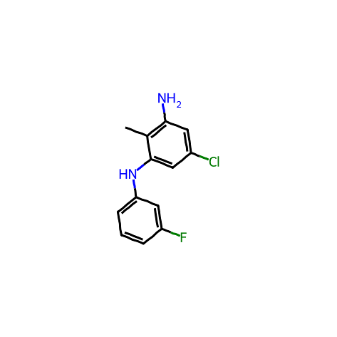 Cc1c(N)cc(Cl)cc1Nc1cccc(F)c1